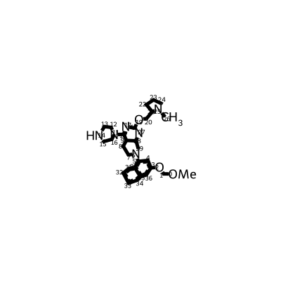 COCOc1cc(N2CCC3C(N4CCNCC4)=NC(OCC4CCCN4C)=NC3C2)c2ccccc2c1